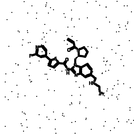 C=CC(=O)N1CCC[C@@H]1Cn1c(NC(=O)c2ccc(-c3ccnc(F)c3)s2)nc2cc(CNCC(C)C)ccc21